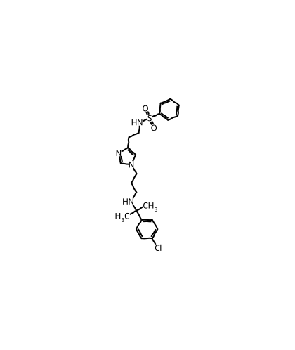 CC(C)(NCCCn1cnc(CCNS(=O)(=O)c2ccccc2)c1)c1ccc(Cl)cc1